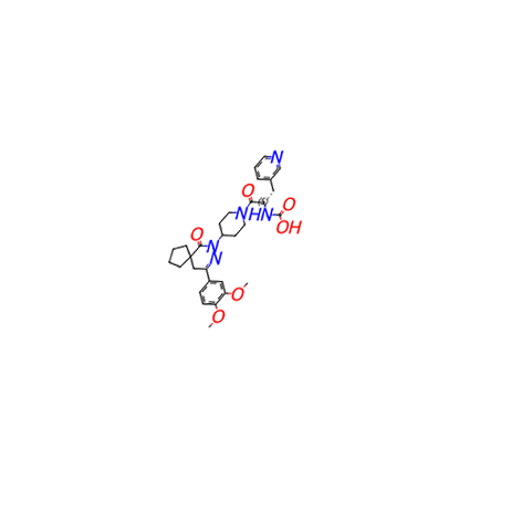 COc1ccc(C2=NN(C3CCN(C(=O)[C@H](Cc4cccnc4)NC(=O)O)CC3)C(=O)C3(CCCC3)C2)cc1OC